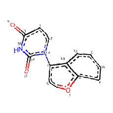 O=c1ccn(-c2coc3ccccc23)c(=O)[nH]1